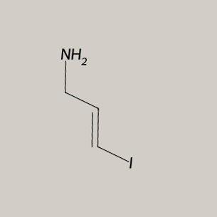 NCC=CI